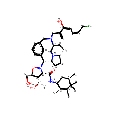 C=C(CN(Cc1cccc(CN2O[C@@H](CO)[C@@H]([C@H](C)O)[C@H]2C(=O)N[C@H]2C[C@@H](C)C(C)(C)[C@@H](C)[C@@H]2C)c1)[C@@H](CC(C)C)CN1CCCC1)/C(O)=C\C=C/CF